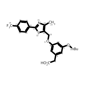 CCCCOc1cc(CC(=O)O)cc(OCc2sc(-c3ccc(C(F)(F)F)cc3)nc2C)c1